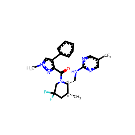 C[C@@H]1CC(F)(F)CN(C(=O)c2nn(C)cc2-c2ccccc2)[C@@H]1CNc1ncc(C(F)(F)F)cn1